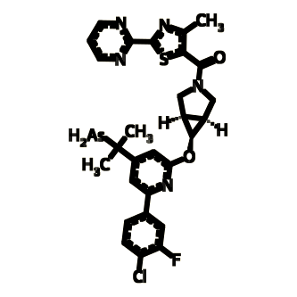 Cc1nc(-c2ncccn2)sc1C(=O)N1C[C@@H]2[C@H](C1)[C@@H]2Oc1cc(C(C)(C)[AsH2])cc(-c2ccc(Cl)c(F)c2)n1